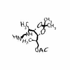 CC(=O)OC[C@@H](C)[C@H]1OC(C)(C)O[C@H]1[C@@H](C)NC=N